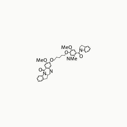 CNc1cc(OCCCCCOc2cc3c(cc2OC)C(=O)N2c4ccccc4CC2C=N3)c(OC)cc1C(=O)N1CCc2ccccc21